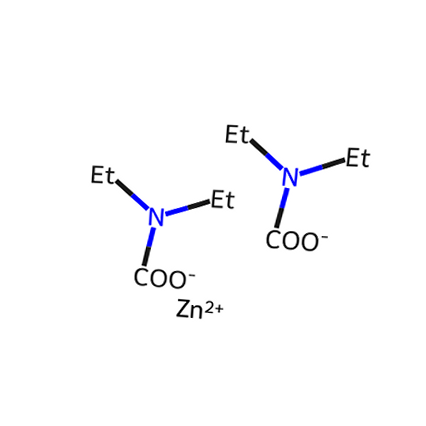 CCN(CC)C(=O)[O-].CCN(CC)C(=O)[O-].[Zn+2]